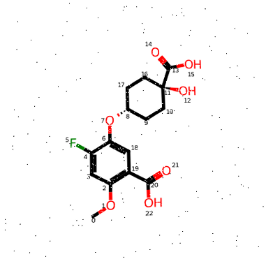 COc1cc(F)c(O[C@H]2CC[C@@](O)(C(=O)O)CC2)cc1C(=O)O